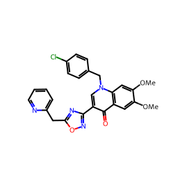 COc1cc2c(=O)c(-c3noc(Cc4ccccn4)n3)cn(Cc3ccc(Cl)cc3)c2cc1OC